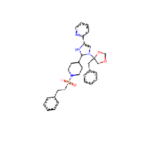 O=S(=O)(CCc1ccccc1)N1CCC(C2NC(c3ccccn3)=CN2C2(Cc3ccccc3)COCO2)CC1